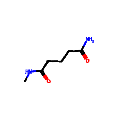 CNC(=O)[CH]CCC(N)=O